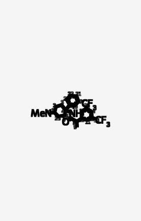 CNC1CCC(NC(=O)C(C)c2cc(C(F)(F)F)cc(C(F)(F)F)c2)(c2ccccc2)CC1